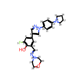 Oc1c(F)cc(-c2cnn(-c3ccc(N4CCCC4)cc3)c2)cc1C=NN1CCOCC1